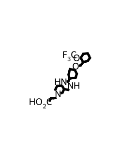 O=C(O)CCN1CCC2NC(C3CCC(OCC4CCCCC4OC(F)(F)F)CC3)NCC2C1